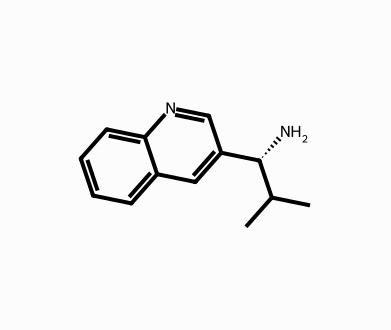 CC(C)[C@@H](N)c1cnc2ccccc2c1